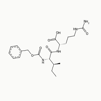 CC[C@H](C)[C@H](NC(=O)OCc1ccccc1)C(=O)N[C@@H](CCCNC(N)=O)C(=O)O